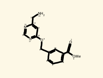 COC(=O)c1cccc(COc2cc(CN)ncn2)c1